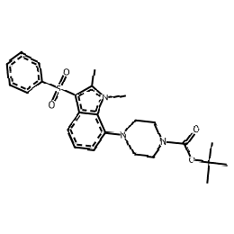 Cc1c(S(=O)(=O)c2ccccc2)c2cccc(N3CCN(C(=O)OC(C)(C)C)CC3)c2n1C